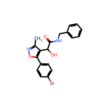 Cc1noc(-c2ccc(Br)cc2)c1C(O)C(=O)NCc1ccccc1